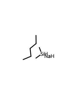 CCCCC.C[SiH2]C.[NaH]